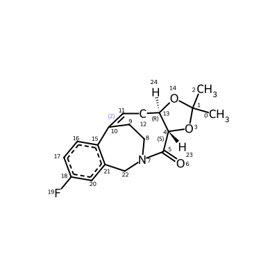 CC1(C)O[C@@H]2C(=O)N3CC/C(=C/C[C@H]2O1)c1ccc(F)cc1C3